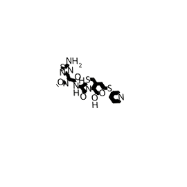 CON=C(C(=O)NC1C(=O)N2C(C(=O)O)=C(C=CSc3cccnc3)CS[C@@H]12)c1nsc(N)n1